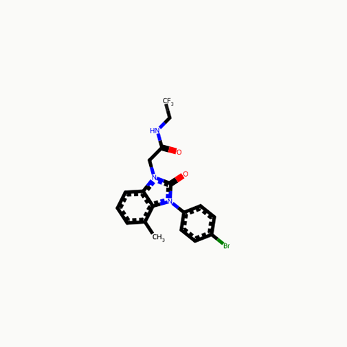 Cc1cccc2c1n(-c1ccc(Br)cc1)c(=O)n2CC(=O)NCC(F)(F)F